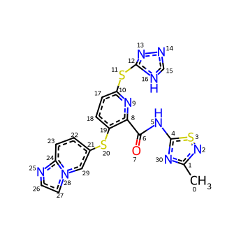 Cc1nsc(NC(=O)c2nc(Sc3nnc[nH]3)ccc2Sc2ccc3nccn3c2)n1